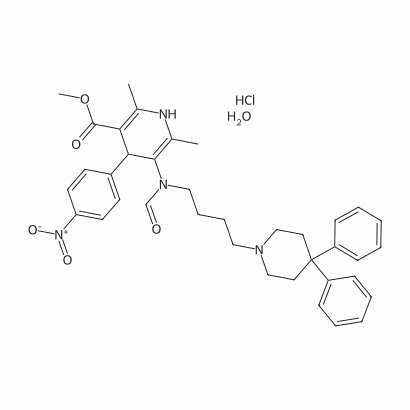 COC(=O)C1=C(C)NC(C)=C(N(C=O)CCCCN2CCC(c3ccccc3)(c3ccccc3)CC2)C1c1ccc([N+](=O)[O-])cc1.Cl.O